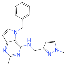 Cc1nc(NCc2ccn(C)n2)c2c(ccn2Cc2ccccc2)n1